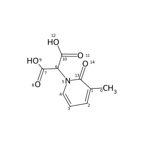 Cc1cccn(C(C(=O)O)C(=O)O)c1=O